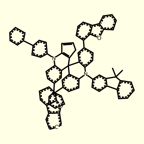 CC1(C)c2ccccc2-c2ccc(N3c4ccc(-c5cccc6c5oc5ccccc56)cc4C4(C5=C(C=CC5)N(c5ccc(-c6ccccc6)cc5)c5ccc(-c6ccccc6)cc54)c4cc(-c5cccc6c5oc5ccccc56)ccc43)cc21